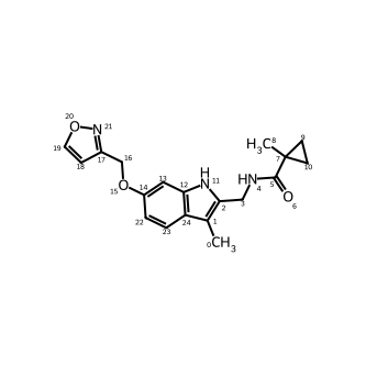 Cc1c(CNC(=O)C2(C)CC2)[nH]c2cc(OCc3ccon3)ccc12